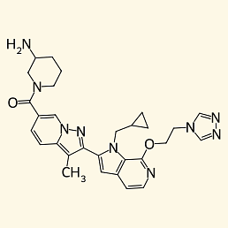 Cc1c(-c2cc3ccnc(OCCn4cnnc4)c3n2CC2CC2)nn2cc(C(=O)N3CCCC(N)C3)ccc12